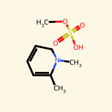 CC1=CC=CCN1C.COS(=O)(=O)O